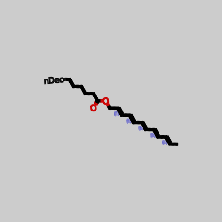 C/C=C/C=C/C=C/C=C/C=C/COC(=O)CCCCCCCCCCCCCCC